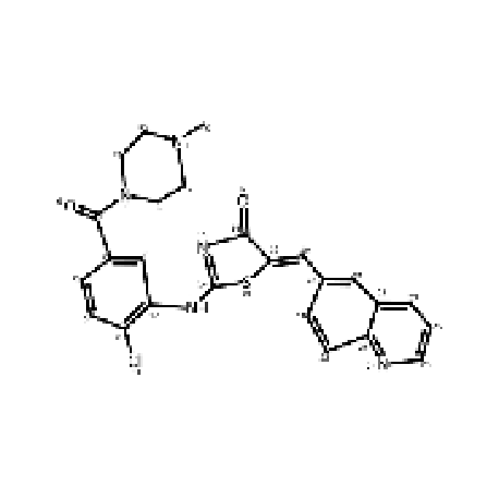 CN1CCN(C(=O)c2ccc(Cl)c(NC3=NC(=O)/C(=C/c4ccc5ncccc5c4)S3)c2)CC1